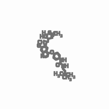 COc1cc2nccc(Oc3ccc(NC(=O)NCCC(C)(C)C)cc3)c2cc1OCC(O)CN(C)C